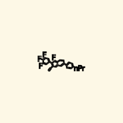 C#Cc1cc2cc(-c3ccc(CCC)cc3)ccc2c(F)c1-c1cc(F)c(F)c(F)c1